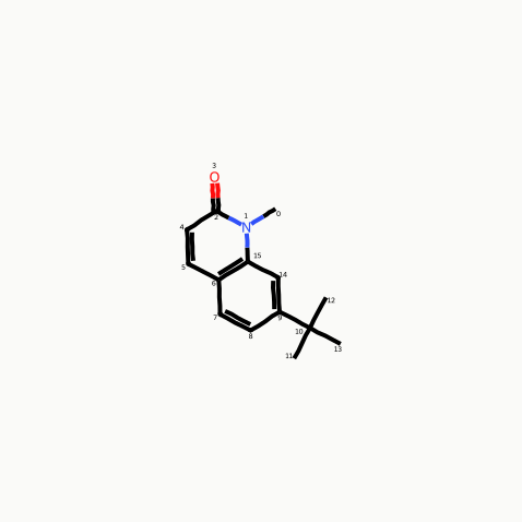 Cn1c(=O)ccc2ccc(C(C)(C)C)cc21